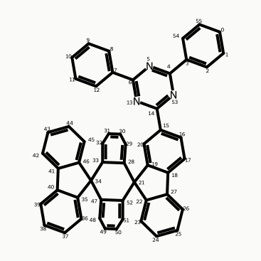 c1ccc(-c2nc(-c3ccccc3)nc(-c3ccc4c(c3)C3(c5ccccc5-4)c4ccccc4C4(c5ccccc5-c5ccccc54)c4ccccc43)n2)cc1